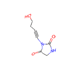 O=C1CNC(=O)N1C#CCCO